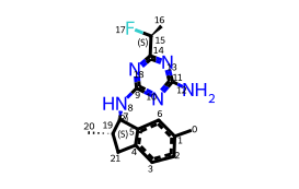 Cc1ccc2c(c1)[C@H](Nc1nc(N)nc([C@H](C)F)n1)[C@@H](C)C2